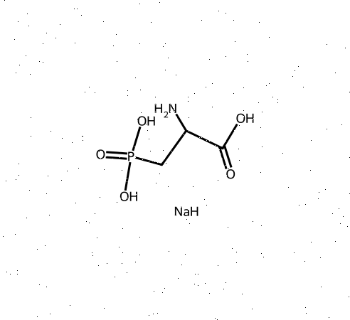 NC(CP(=O)(O)O)C(=O)O.[NaH]